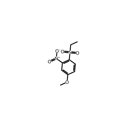 CCS(=O)(=O)c1ccc(OC)cc1[N+](=O)[O-]